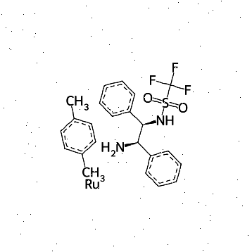 Cc1ccc(C)cc1.N[C@H](c1ccccc1)[C@H](NS(=O)(=O)C(F)(F)F)c1ccccc1.[Ru]